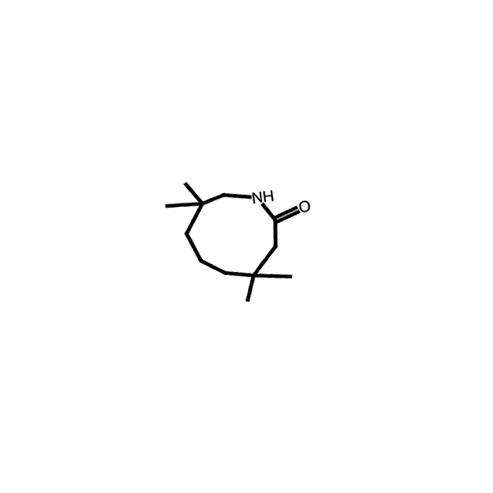 CC1(C)CCCC(C)(C)CC(=O)NC1